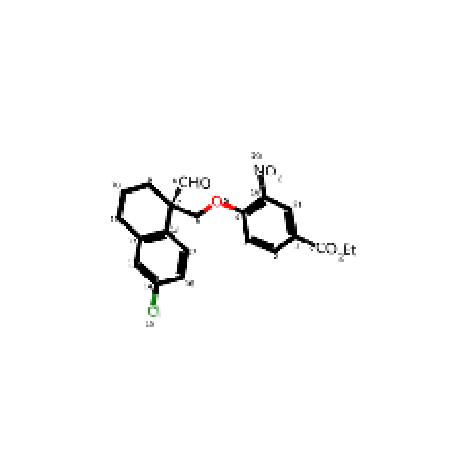 CCOC(=O)c1ccc(OC[C@@]2(C=O)CCCc3cc(Cl)ccc32)c([N+](=O)[O-])c1